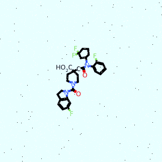 O=C(N1CCC(CC(=O)N(c2ccccc2F)C2CCCC(F)(F)C2)(C(=O)O)CC1)N1CCc2ccc(F)cc21